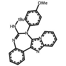 COc1ccc(N2C(NC(C)(C)C)=Nc3ccccc3-c3nc4ccccn4c32)cc1